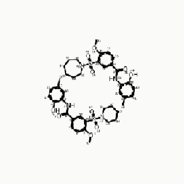 COc1ccc(C(=O)Nc2cc(C)ccc2O)cc1S(=O)(=O)N1CCCCC1.COc1ccc(C(=O)Nc2cc(C)ccc2O)cc1S(=O)(=O)N1CCCCCC1